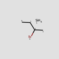 CCC(C)Br.[SiH4]